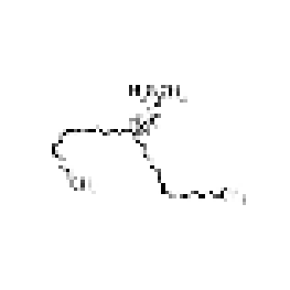 CCCCC/C=C\C/C=C\CCCCCCCC/C(CCCCCCCC/C=C\C=C\CCCCC)=N\NC(=O)CCN(C)C